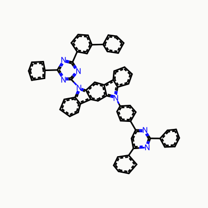 c1ccc(-c2cccc(-c3nc(-c4ccccc4)nc(-n4c5ccccc5c5cc6c(cc54)c4ccccc4n6-c4ccc(-c5cc(-c6ccccc6)nc(-c6ccccc6)n5)cc4)n3)c2)cc1